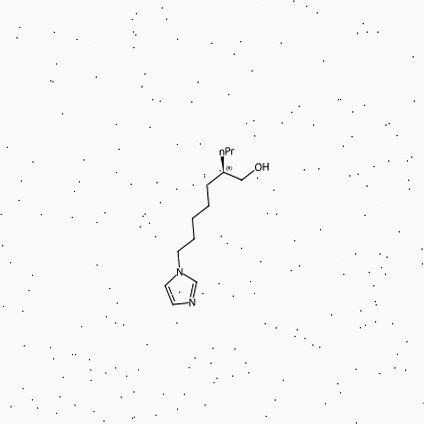 CCC[C@@H](CO)CCCCCn1ccnc1